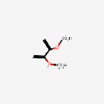 C=C(OC(=O)O)C(=C)OC(=O)O